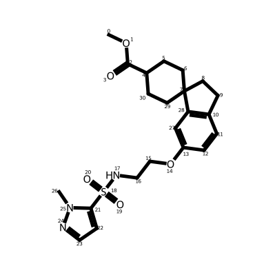 COC(=O)C1CCC2(CCc3ccc(OCCNS(=O)(=O)c4ccnn4C)cc32)CC1